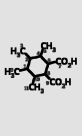 CC1C(C)C(C)C(C(=O)O)C(C(=O)O)C1C